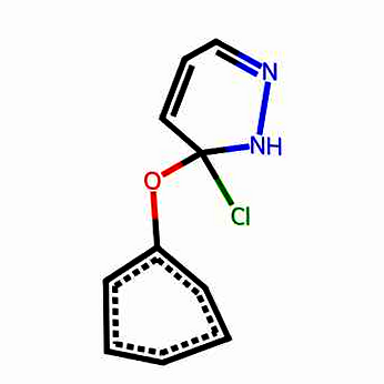 ClC1(Oc2ccccc2)C=CC=NN1